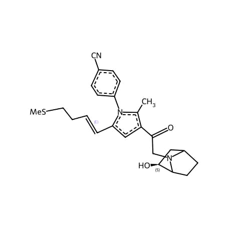 CSCC/C=C/c1cc(C(=O)CN2C3CCC2[C@@H](O)C3)c(C)n1-c1ccc(C#N)cc1